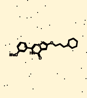 COc1cccc(-c2cn3cc(OCCCN4CCCCC4)cc3c(=O)[nH]2)c1